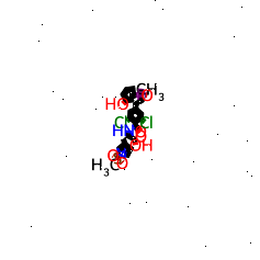 CP(=O)(CCc1cc(Cl)c(C(=O)N[C@@H](Cc2ccn(S(C)(=O)=O)c2)C(=O)O)c(Cl)c1)c1cccc(O)c1